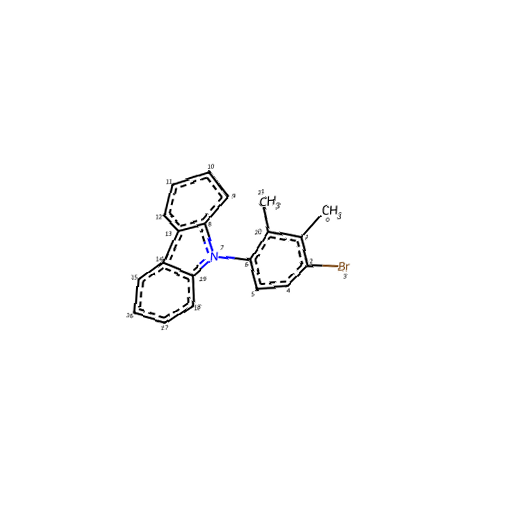 Cc1c(Br)ccc(-n2c3ccccc3c3ccccc32)c1C